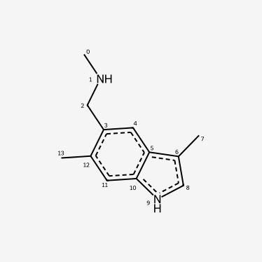 CNCc1cc2c(C)c[nH]c2cc1C